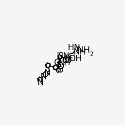 N=C(N)NCCC[C@H](NC(=O)c1sccc1NS(=O)(=O)c1cc(-c2ccccc2CN2CCN(c3cccnc3)CC2)cc2c1OCC2)C(=O)O